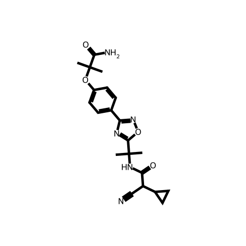 CC(C)(Oc1ccc(-c2noc(C(C)(C)NC(=O)C(C#N)C3CC3)n2)cc1)C(N)=O